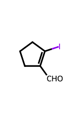 O=CC1=C(I)CCC1